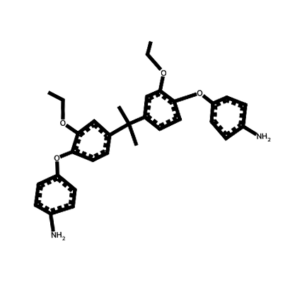 CCOc1cc(C(C)(C)c2ccc(Oc3ccc(N)cc3)c(OCC)c2)ccc1Oc1ccc(N)cc1